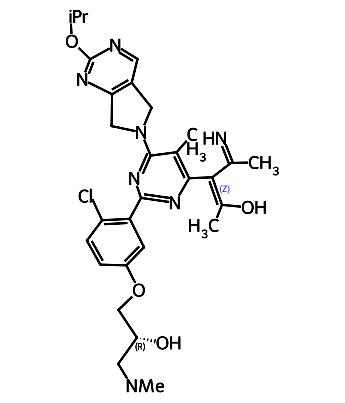 CNC[C@@H](O)COc1ccc(Cl)c(-c2nc(/C(C(C)=N)=C(\C)O)c(C)c(N3Cc4cnc(OC(C)C)nc4C3)n2)c1